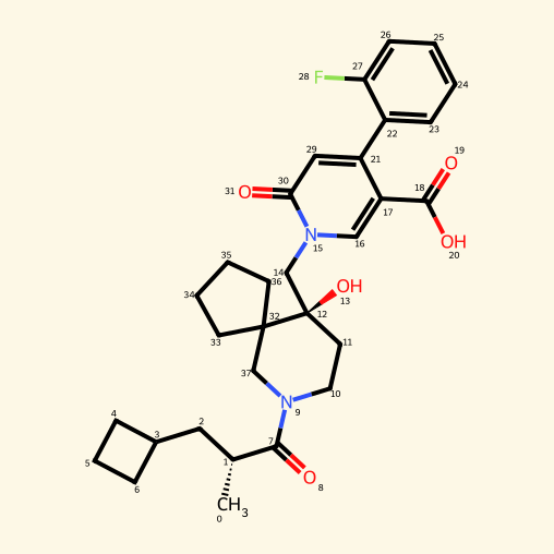 C[C@H](CC1CCC1)C(=O)N1CC[C@@](O)(Cn2cc(C(=O)O)c(-c3ccccc3F)cc2=O)C2(CCCC2)C1